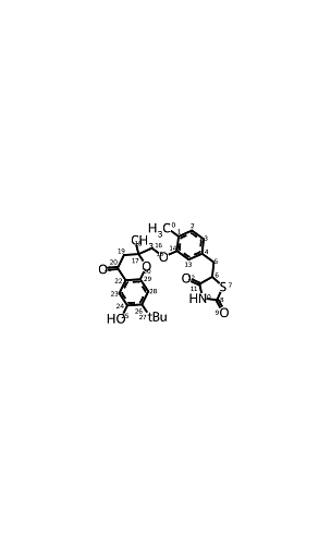 Cc1ccc(CC2SC(=O)NC2=O)cc1OCC1(C)CC(=O)c2cc(O)c(C(C)(C)C)cc2O1